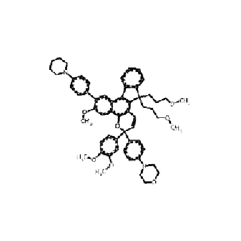 COCCCC1(CCCOC)c2ccccc2-c2c1c1c(c3cc(OC)c(-c4ccc(N5CCCCC5)cc4)cc23)OC(c2ccc(N3CCOCC3)cc2)(c2ccc(OC)c(OC)c2)C=C1